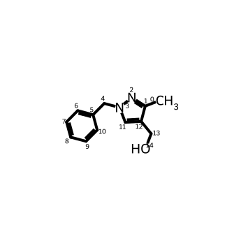 Cc1nn(Cc2ccccc2)cc1CO